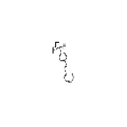 FC(F)(F)c1ccc(C=Cc2cc[c]cc2)cc1